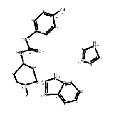 CN1CC[C@@H](NC(=O)Nc2ccc(C#N)cc2)C[C@@H]1c1nc2ccccc2[nH]1.c1c[nH]cn1